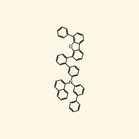 c1ccc(-c2cccc(N(c3cccc(-c4ccccc4-c4cccc5c4oc4c(-c6ccccc6)cccc45)c3)c3cccc4ccccc34)c2)cc1